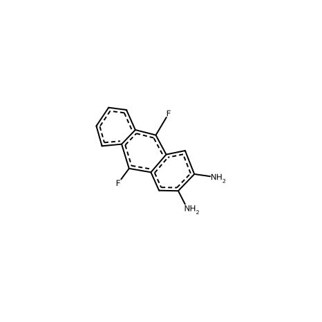 Nc1cc2c(F)c3ccccc3c(F)c2cc1N